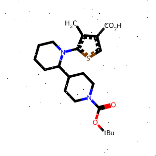 Cc1c(C(=O)O)csc1N1CCCCC1C1CCN(C(=O)OC(C)(C)C)CC1